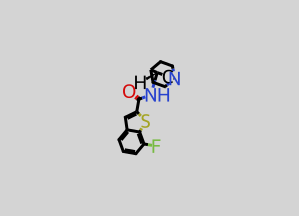 O=C(N[C@H]1CN2CCC1CC2)c1cc2cccc(F)c2s1